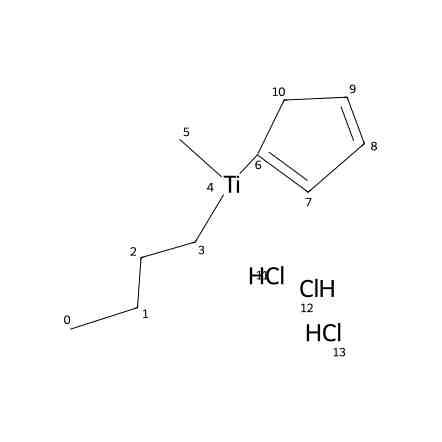 CCC[CH2][Ti]([CH3])[C]1=CC=CC1.Cl.Cl.Cl